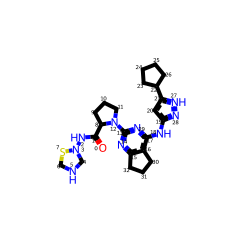 O=C(NN1CNCS1)C1CCCN1c1nc2c(c(Nc3cc(C4CCCC4)[nH]n3)n1)CCC2